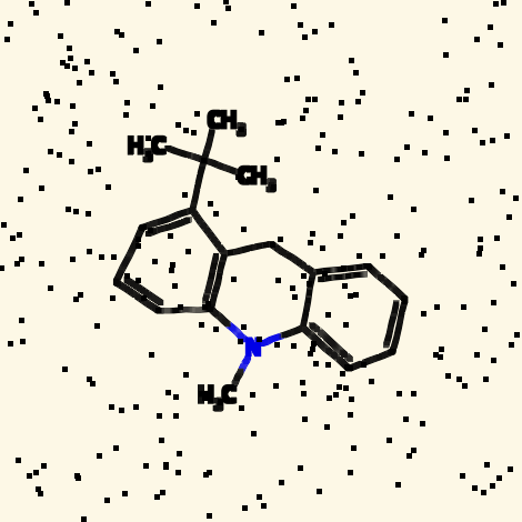 CN1c2ccccc2Cc2c1cccc2C(C)(C)C